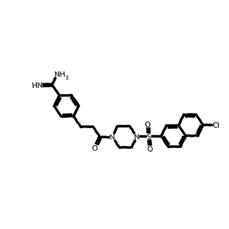 N=C(N)c1ccc(CCC(=O)N2CCN(S(=O)(=O)c3ccc4cc(Cl)ccc4c3)CC2)cc1